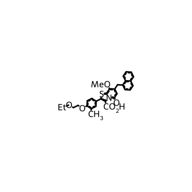 CCOCCOc1ccc(-c2sc3c(OC)c(Cc4cccc5ccccc45)cc(=O)n3c2C(=O)O)cc1C